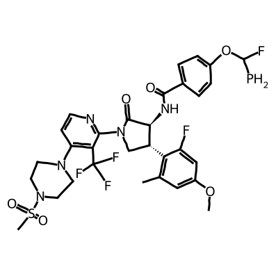 COc1cc(C)c([C@@H]2CN(c3nccc(N4CCN(S(C)(=O)=O)CC4)c3C(F)(F)F)C(=O)[C@H]2NC(=O)c2ccc(OC(F)P)cc2)c(F)c1